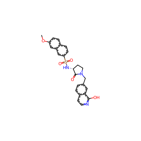 COc1ccc2ccc(S(=O)(=O)N[C@@H]3CCN(Cc4ccc5ccnc(O)c5c4)C3=O)cc2c1